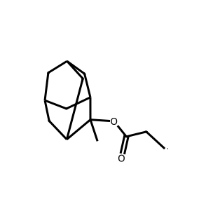 [CH2]CC(=O)OC1(C)C2CC3CC(C2)CC1C3